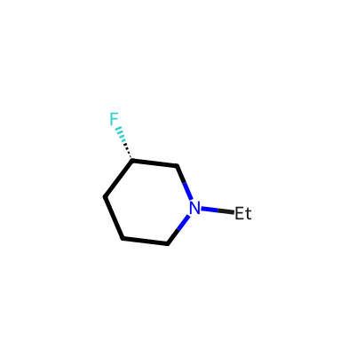 CCN1CCC[C@H](F)C1